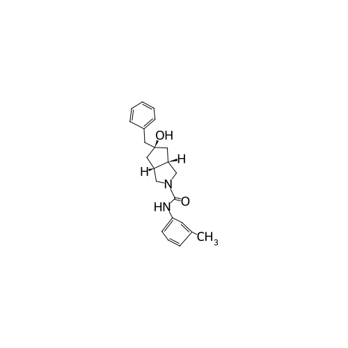 Cc1cccc(NC(=O)N2C[C@@H]3C[C@](O)(Cc4ccccc4)C[C@@H]3C2)c1